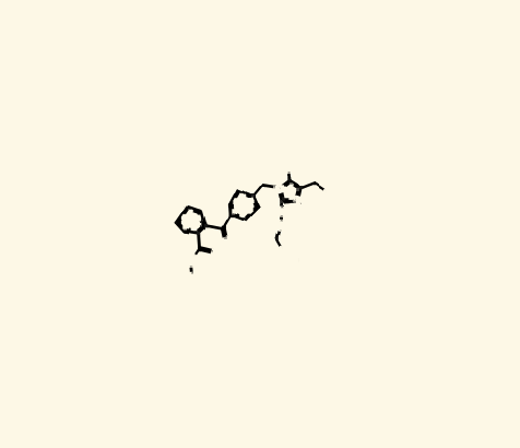 CCCCc1nc(CO)c(Cl)n1Cc1ccc(C(=O)c2ccccc2C(=O)OC)cc1